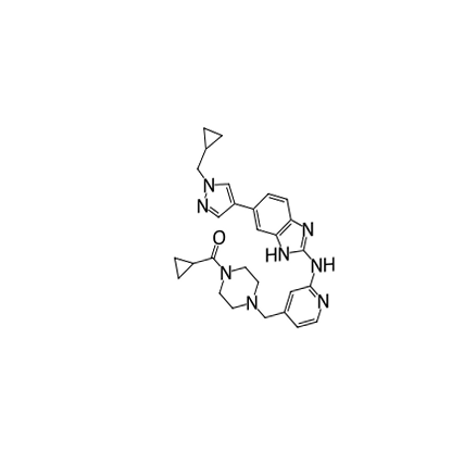 O=C(C1CC1)N1CCN(Cc2ccnc(Nc3nc4ccc(-c5cnn(CC6CC6)c5)cc4[nH]3)c2)CC1